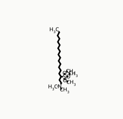 CCCCCCCCCCCCCCCC(CCN(C)C)[Si](OC)(OC)OC